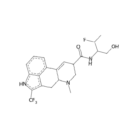 CC(F)C(CO)NC(=O)C1C=C2c3cccc4[nH]c(C(F)(F)F)c(c34)CC2N(C)C1